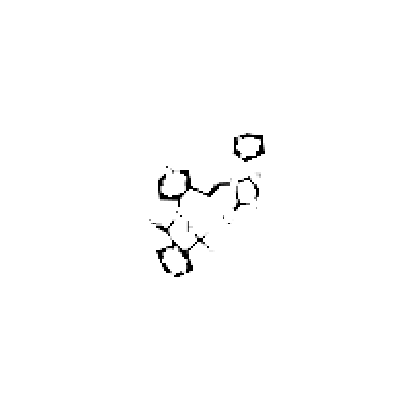 O=C1OC[C@@H](c2ccccc2)N1[C]=Cc1cnccc1NC(=S)c1ccccc1C(F)(F)F